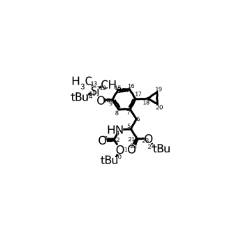 CC(C)(C)OC(=O)NC(Cc1cc(O[Si](C)(C)C(C)(C)C)ccc1C1CC1)C(=O)OC(C)(C)C